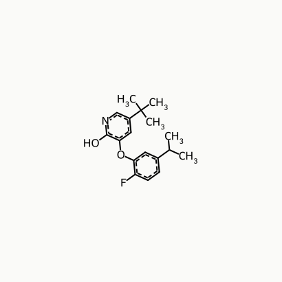 CC(C)c1ccc(F)c(Oc2cc(C(C)(C)C)cnc2O)c1